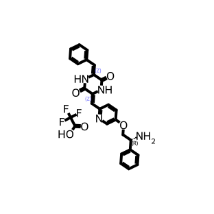 N[C@@H](COc1ccc(/C=c2\[nH]c(=O)/c(=C/c3ccccc3)[nH]c2=O)nc1)c1ccccc1.O=C(O)C(F)(F)F